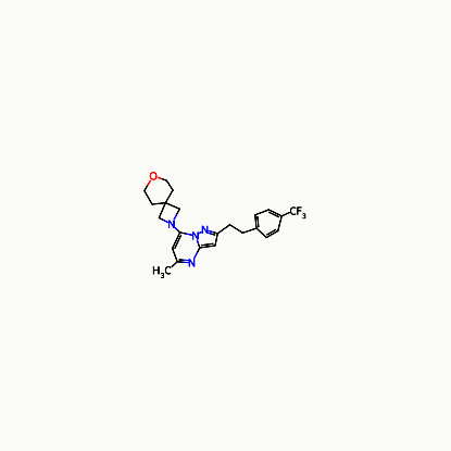 Cc1cc(N2CC3(CCOCC3)C2)n2nc(CCc3ccc(C(F)(F)F)cc3)cc2n1